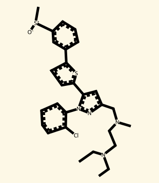 CCN(CC)CCN(C)Cc1cc(-c2ccc(-c3cccc([S+](C)[O-])c3)s2)n(-c2ccccc2Cl)n1